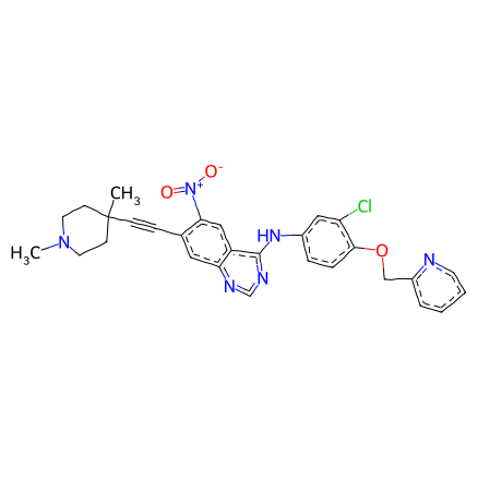 CN1CCC(C)(C#Cc2cc3ncnc(Nc4ccc(OCc5ccccn5)c(Cl)c4)c3cc2[N+](=O)[O-])CC1